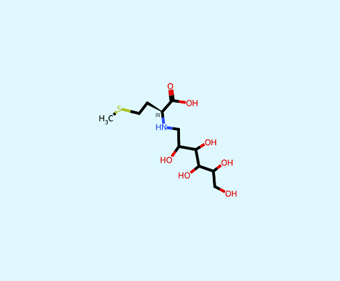 CSCC[C@H](NCC(O)C(O)C(O)C(O)CO)C(=O)O